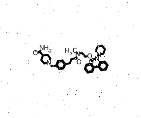 CN(CCOC(=O)N(c1ccccc1-c1ccccc1)N1CC[CH]CC1)C(=O)CCc1ccc(CN2CCC(C(N)=O)CC2)cc1